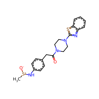 C[S+]([O-])Nc1ccc(CC(=O)N2CCN(c3nc4ccccc4s3)CC2)cc1